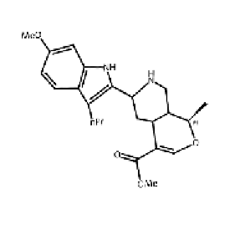 CCCc1c(C2CC3C(C(=O)OC)=CO[C@H](C)C3CN2)[nH]c2cc(OC)ccc12